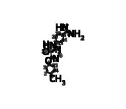 Cc1ccc(Oc2ncnc(Nc3ccc(C(=N)N)cc3)c2O)cc1